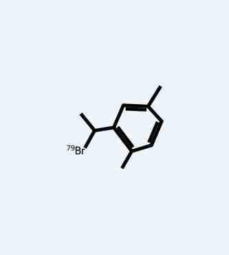 Cc1ccc(C)c(C(C)[79Br])c1